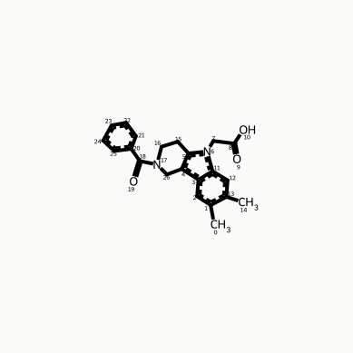 Cc1cc2c3c(n(CC(=O)O)c2cc1C)CCN(C(=O)c1ccccc1)C3